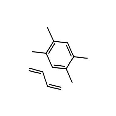 C=CC=C.Cc1cc(C)c(C)cc1C